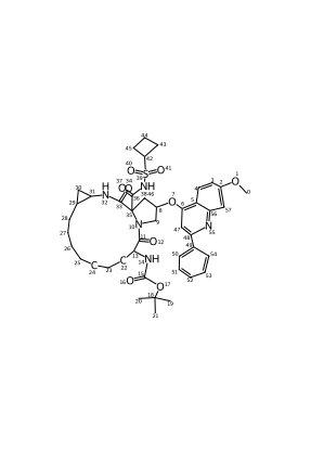 COc1ccc2c(OC3CN4C(=O)C(NC(=O)OC(C)(C)C)CCCCCCCC5CC5NC(=O)C4(C(=O)NS(=O)(=O)C4CCC4)C3)cc(-c3ccccc3)nc2c1